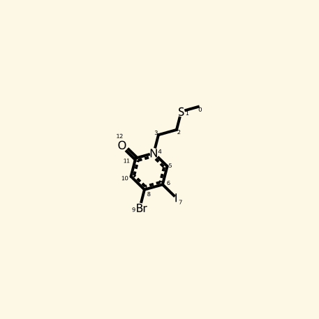 CSCCn1cc(I)c(Br)cc1=O